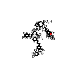 CCOP(=O)(OCC)C(F)(F)c1ccc2sc(C(=O)N[C@H]3CN(C(=O)O)CC[C@H]4CC[C@@H](C(=O)N[C@@H](CCC(N)=O)C(=O)N[C@@H](Cc5ccc(F)c(F)c5)C(=O)N5CCC(CCCc6ccc7c(c6)n(C)c(=O)n7C6CCC(=O)NC6=O)CC5)N4C3=O)cc2c1